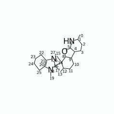 CC1CCC2C(N1)OC1C2CCC(C)C1(C)C1(C)N(C)C2=C(CCCC2)N1C